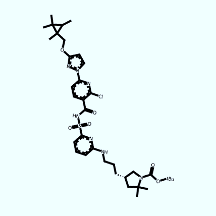 CC1C(C)(C)C1(C)COc1ccn(-c2ccc(C(=O)NS(=O)(=O)c3cccc(NCCC[C@@H]4CN(C(=O)OC(C)(C)C)C(C)(C)C4)n3)c(Cl)n2)n1